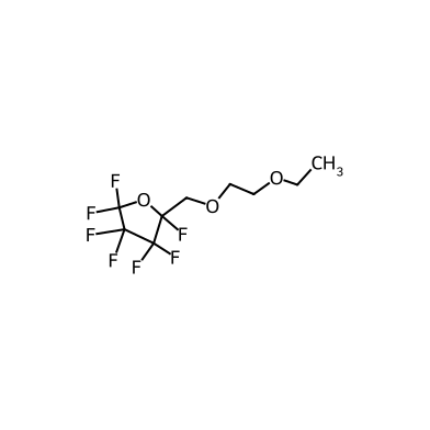 CCOCCOCC1(F)OC(F)(F)C(F)(F)C1(F)F